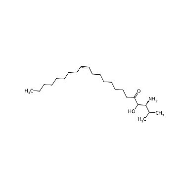 CCCCCCCC/C=C\CCCCCCCC(=O)C(O)[C@@H](N)C(C)C